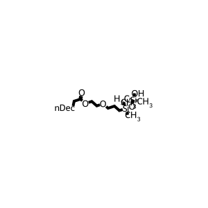 CCCCCCCCCCCC(=O)OCCOCCC[Si](C)(C)O[Si](C)(C)O